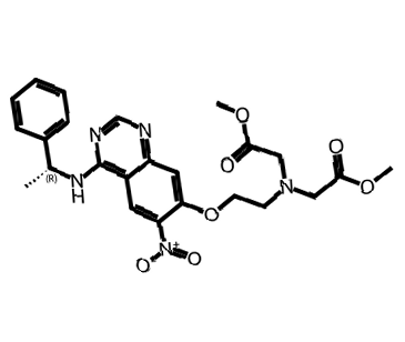 COC(=O)CN(CCOc1cc2ncnc(N[C@H](C)c3ccccc3)c2cc1[N+](=O)[O-])CC(=O)OC